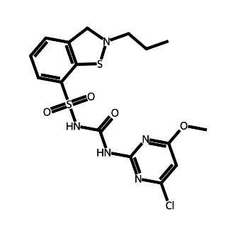 CCCN1Cc2cccc(S(=O)(=O)NC(=O)Nc3nc(Cl)cc(OC)n3)c2S1